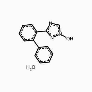 O.On1cnc(-c2ccccc2-c2ccccc2)n1